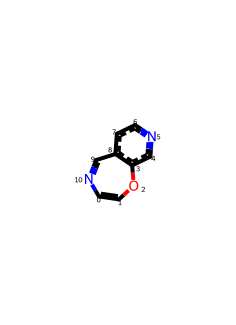 C1=COc2cnccc2C=N1